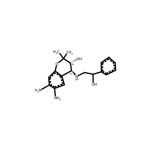 CC1(C)Oc2cc(N)c(N)cc2[C@H](NCC(O)c2ccccc2)[C@H]1O